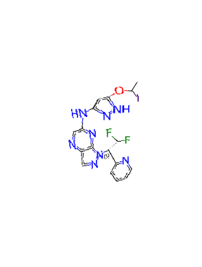 CC(I)Oc1cc(Nc2cnc3cnn([C@@H](c4ccccn4)C(F)F)c3n2)n[nH]1